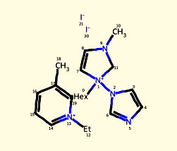 CCCCCC[N+]1(n2ccnc2)C=CN(C)C1.CC[n+]1cccc(C)c1.[I-].[I-]